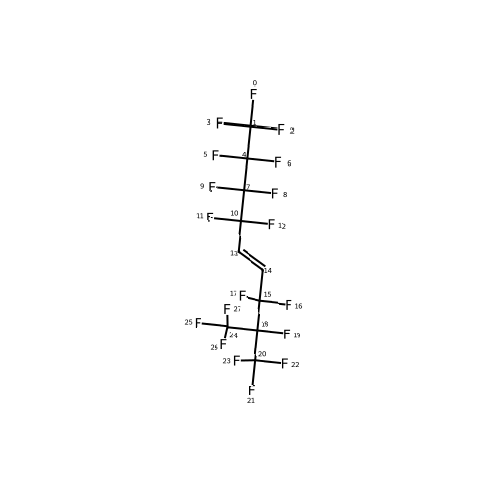 FC(F)(F)C(F)(F)C(F)(F)C(F)(F)C=CC(F)(F)C(F)(C(F)(F)F)C(F)(F)F